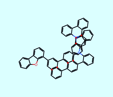 c1ccc(-c2ccc(-c3ccccc3N(c3ccc(-c4cccc(-c5cccc6c5oc5ccccc56)c4)cc3)c3ccc(-c4ccccc4-c4ccccc4-n4c5ccccc5c5ccccc54)cc3)cc2)cc1